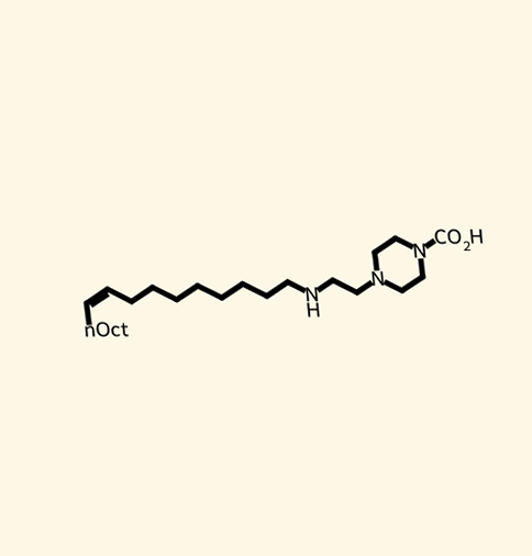 CCCCCCCC/C=C\CCCCCCCCNCCN1CCN(C(=O)O)CC1